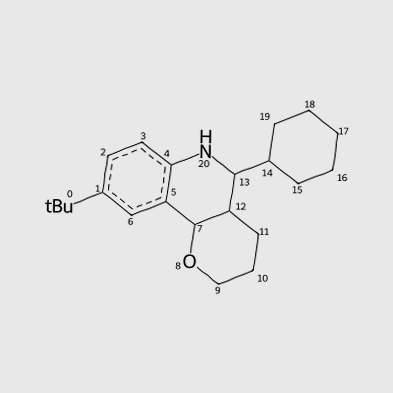 CC(C)(C)c1ccc2c(c1)C1OCCCC1C(C1CCCCC1)N2